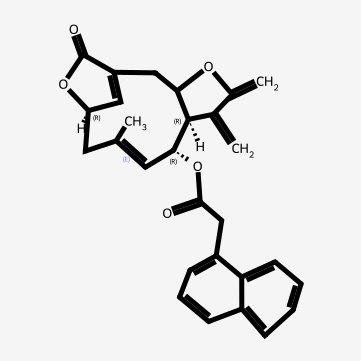 C=C1OC2CC3=C[C@@H](C/C(C)=C/[C@@H](OC(=O)Cc4cccc5ccccc45)[C@@H]2C1=C)OC3=O